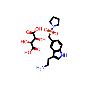 NCCc1c[nH]c2ccc(CS(=O)(=O)N3CCCC3)cc12.O=C(O)C(O)C(O)C(=O)O